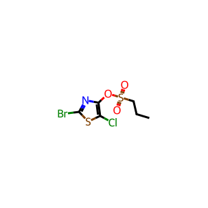 CCCS(=O)(=O)Oc1nc(Br)sc1Cl